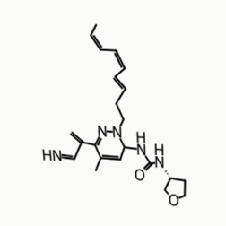 C=C(C=N)C1=NN(CCC=C/C=C\C=C/C)C(NC(=O)N[C@@H]2CCOC2)C=C1C